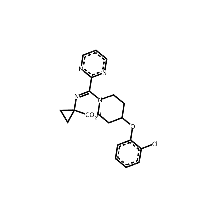 O=C(O)C1(N=C(c2ncccn2)N2CCC(Oc3ccccc3Cl)CC2)CC1